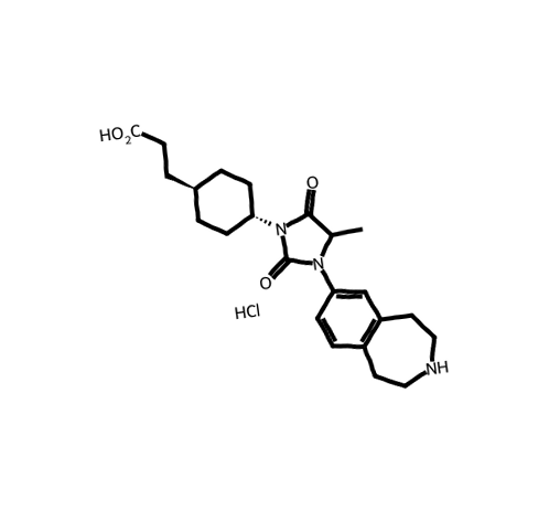 CC1C(=O)N([C@H]2CC[C@H](CCC(=O)O)CC2)C(=O)N1c1ccc2c(c1)CCNCC2.Cl